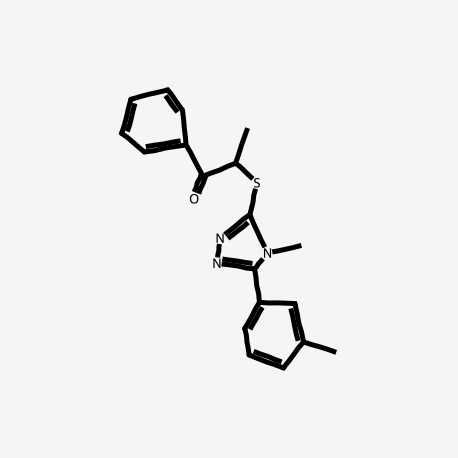 Cc1cccc(-c2nnc(SC(C)C(=O)c3ccccc3)n2C)c1